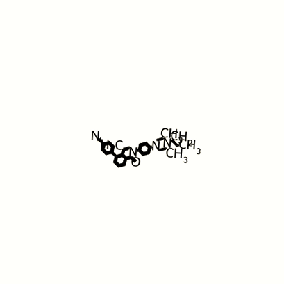 C=C(CC)N1C(C)CN(c2ccc(-n3cc(C)c4c(-c5ccc(C#N)cc5)cccc4c3=O)cc2)CC1C